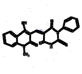 Cn1c(=O)c(/C=C2\C(=O)NC(=S)N(c3ccccc3)C2=O)c(O)c2ccccc21